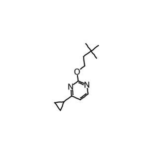 CC(C)(C)CCOc1nccc(C2CC2)n1